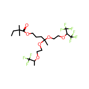 CCC(C)(C)C(=O)OCCCC(C)(OCCOC(C)C(F)(F)F)OCCOC(C(F)(F)F)C(F)(F)F